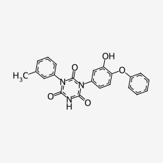 Cc1cccc(-n2c(=O)[nH]c(=O)n(-c3ccc(Oc4ccccc4)c(O)c3)c2=O)c1